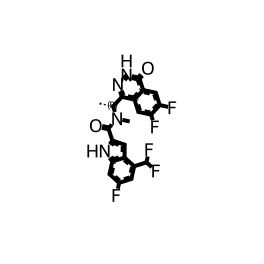 C[C@H](c1n[nH]c(=O)c2cc(F)c(F)cc12)N(C)C(=O)c1cc2c(C(F)F)cc(F)cc2[nH]1